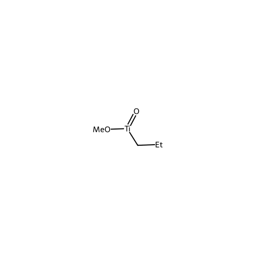 CC[CH2][Ti](=[O])[O]C